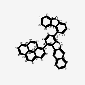 c1ccc2cc3c(cc2c1)oc1c(-c2cccc4oc5ccccc5c24)ccc(-c2ccc4ccc5cccc6ccc2c4c56)c13